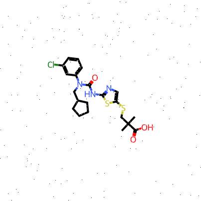 CC(C)(CSc1cnc(NC(=O)N(CC2CCCC2)c2cccc(Cl)c2)s1)C(=O)O